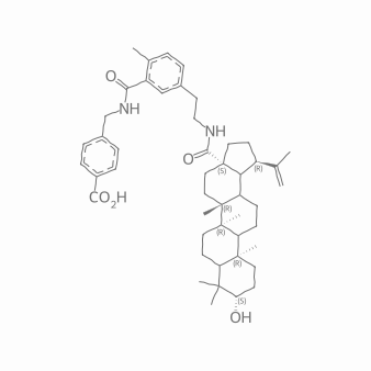 C=C(C)[C@@H]1CC[C@]2(C(=O)NCCc3ccc(C)c(C(=O)NCc4ccc(C(=O)O)cc4)c3)CC[C@]3(C)C(CCC4[C@@]5(C)CC[C@H](O)C(C)(C)C5CC[C@]43C)C12